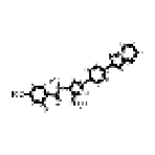 CC(C)N(C(=O)c1ccc(C(F)(F)F)cc1F)c1cc(-c2ccc(-c3cc4ncccn4n3)cc2)sc1C(=O)O